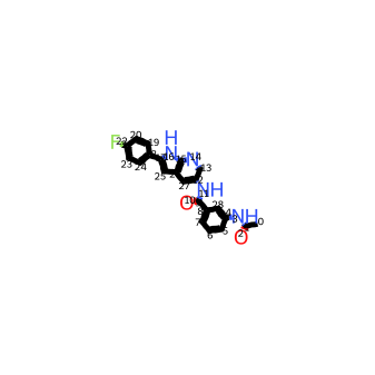 CC(=O)Nc1cccc(C(=O)Nc2cnc3[nH]c(-c4ccc(F)cc4)cc3c2)c1